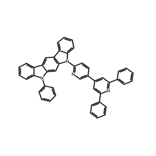 c1ccc(-c2cc(-c3ccc(-n4c5ccccc5c5cc6c7ccccc7n(-c7ccccc7)c6cc54)nc3)cc(-c3ccccc3)n2)cc1